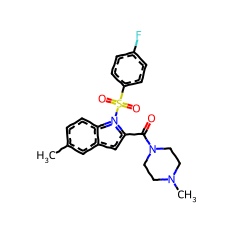 Cc1ccc2c(c1)cc(C(=O)N1CCN(C)CC1)n2S(=O)(=O)c1ccc(F)cc1